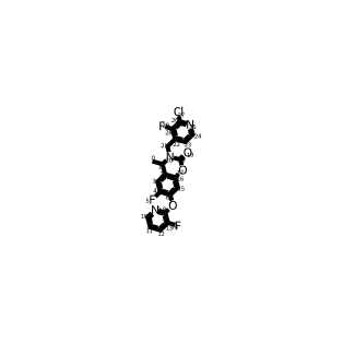 CC1c2cc(F)c(Oc3ncccc3F)cc2OC(=O)N1Cc1ccnc(Cl)c1F